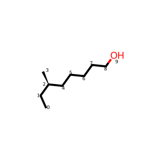 CC[C@@H](C)CCCCCO